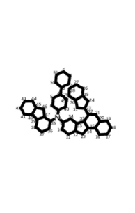 C1CCC(C2CCC(N(C3CCC4CC5C6CCCCC6CC(C6CC7CCCCC7C6)C5C4C3)C3CCCC4C5CCCCC5CC43)CC2)CC1